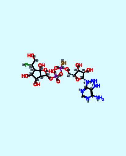 Nc1ncnc2c1NNN2[C@@H]1O[C@H](COP(=O)(S)OP(=O)(O)OC2OC3(O)C2C(O)C(O)C3[C@@H](F)CO)[C@@H](O)[C@H]1O